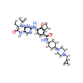 CCC1C(=O)N(C)c2cnc(Nc3ccc(C(=O)NC4CCC(N5CCN(CC6CC6)CC5)CC4)c4c3OCC4)nc2N1C(C)C